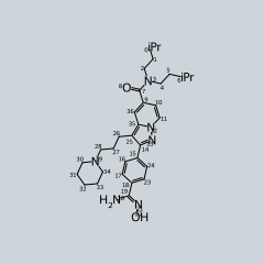 CC(C)CCN(CCC(C)C)C(=O)c1ccn2nc(-c3ccc(/C(N)=N/O)cc3)c(CCCN3CCCCC3)c2c1